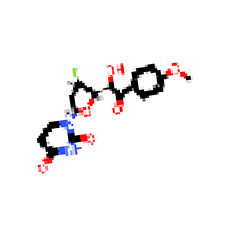 COc1ccc(C(=O)C(O)[C@H]2O[C@@H](n3ccc(=O)[nH]c3=O)C[C@@H]2F)cc1